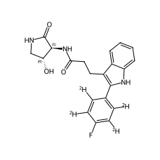 [2H]c1c([2H])c(-c2[nH]c3ccccc3c2CCC(=O)N[C@@H]2C(=O)NC[C@H]2O)c([2H])c([2H])c1F